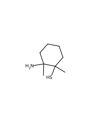 CC1(N)CCCCC1(C)S